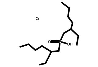 CCCCC(CC)CP(=O)(O)CC(CC)CCCC.[Cr]